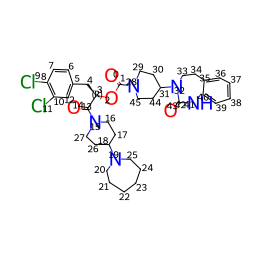 O=C(O[C@H](Cc1ccc(Cl)c(Cl)c1)C(=O)N1CCC(N2CCCCCC2)CC1)N1CCC(N2CCc3ccccc3NC2=O)CC1